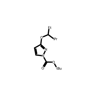 CCC(Oc1ccn(C(=O)OC(C)(C)C)n1)C(C)C